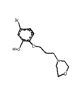 COc1cc(C(C)=O)ccc1OCCCN1CCOCC1